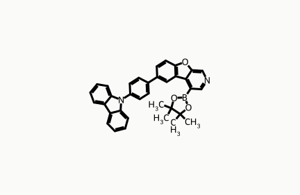 CC1(C)OB(c2cncc3oc4ccc(-c5ccc(-n6c7ccccc7c7ccccc76)cc5)cc4c23)OC1(C)C